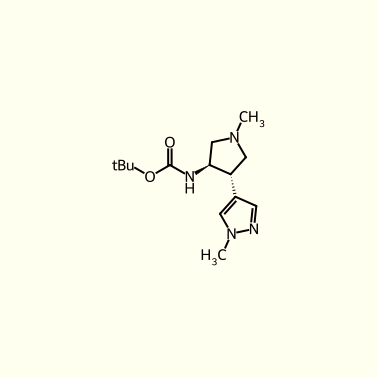 CN1C[C@H](NC(=O)OC(C)(C)C)[C@@H](c2cnn(C)c2)C1